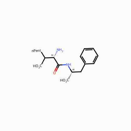 CCCCCC(C(=O)O)[C@H](N)C(=O)N[C@H](Cc1ccccc1)C(=O)O